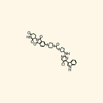 O=C1CCC(N2C(=O)c3ccc(N4CCN(C(=O)CN5CCC(Nc6ncc(Cl)c(-c7c[nH]c8ccccc78)n6)C5)CC4)cc3C2=O)C(=O)N1